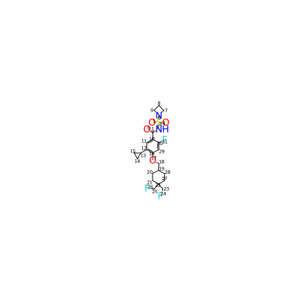 O=C(NS(=O)(=O)N1CCC1)c1cc(C2CC2)c(OCC2CCC(CF)(CF)CC2)cc1F